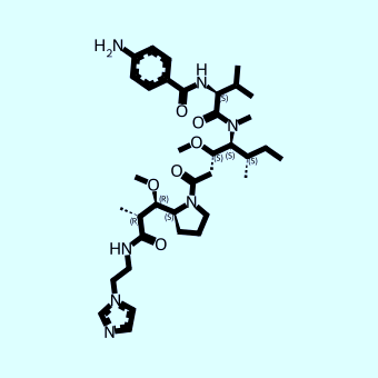 CC[C@H](C)[C@@H]([C@H](CC(=O)N1CCC[C@H]1[C@H](OC)[C@@H](C)C(=O)NCCn1ccnc1)OC)N(C)C(=O)[C@@H](NC(=O)c1ccc(N)cc1)C(C)C